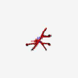 CCCCCCCCCCC[C@H](CC(=O)NCCO[C@@H]1OC(CO)[C@@H](OS(=O)(=O)O)C(NC(=O)C[C@@H](CCCCCCCCCCC)OC(=O)CCCCCCCc2ccccc2)C1CNC(=O)C[C@@H](CCCCCCCCCCC)OC(=O)CCCCCCCc1ccccc1)OC(=O)CCCCCCCc1ccccc1